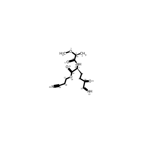 CO[C@@H](C)C(=O)N[C@@H](CCC(=O)C=N)C(=O)OCCC#N